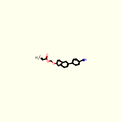 C=CC(=O)OCOc1ccc2cc(-c3ccc(C#N)cc3)ccc2c1